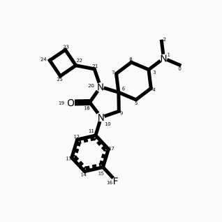 CN(C)C1CCC2(CC1)CN(c1cccc(F)c1)C(=O)N2CC1CCC1